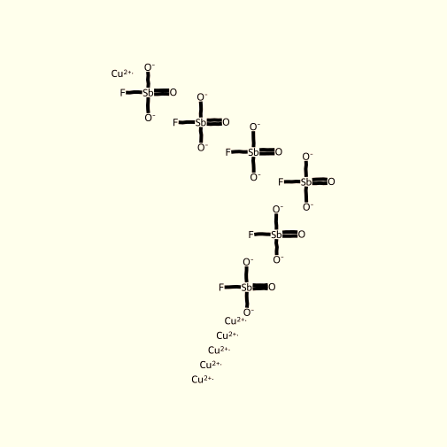 [Cu+2].[Cu+2].[Cu+2].[Cu+2].[Cu+2].[Cu+2].[O]=[Sb]([O-])([O-])[F].[O]=[Sb]([O-])([O-])[F].[O]=[Sb]([O-])([O-])[F].[O]=[Sb]([O-])([O-])[F].[O]=[Sb]([O-])([O-])[F].[O]=[Sb]([O-])([O-])[F]